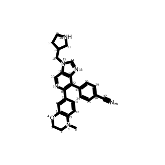 CN1CCOc2cc(-c3ncc4c(ncn4CC4CCNC4)c3-c3ccc(C#N)cc3)ccc21